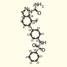 NC(=O)n1n[c]c2ccc(-c3ccc(NS(=O)(=O)c4ccccc4)cc3)c(F)c21